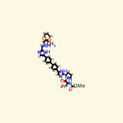 COC(=O)NC(C(=O)N1CCC[C@H]1c1ncc(-c2ccc(-c3ccc(-c4cnc(CNCC5(C)OCCCO5)[nH]4)cc3)cc2)[nH]1)C(C)C